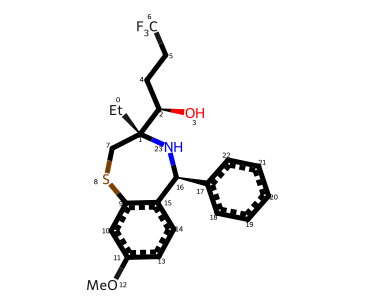 CC[C@]1([C@H](O)CCC(F)(F)F)CSc2cc(OC)ccc2[C@H](c2ccccc2)N1